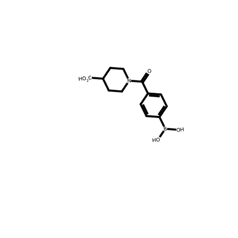 O=C(O)C1CCN(C(=O)c2ccc(B(O)O)cc2)CC1